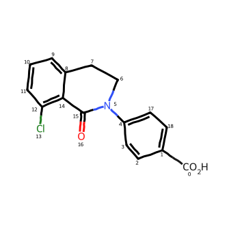 O=C(O)c1ccc(N2CCc3cccc(Cl)c3C2=O)cc1